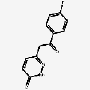 O=C(Cc1ccc(=O)[nH]n1)c1ccc(F)cc1